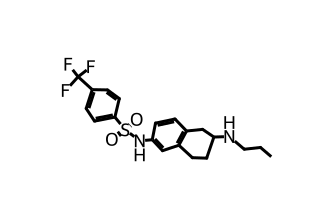 CCCNC1CCc2cc(NS(=O)(=O)c3ccc(C(F)(F)F)cc3)ccc2C1